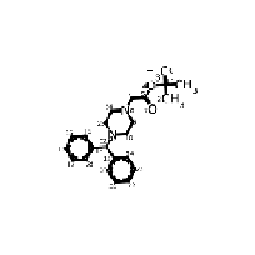 CC(C)(C)OC(=O)CN1CCN(C(c2ccccc2)c2ccccc2)CC1